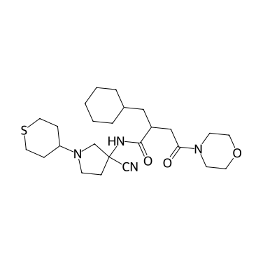 N#CC1(NC(=O)C(CC(=O)N2CCOCC2)CC2CCCCC2)CCN(C2CCSCC2)C1